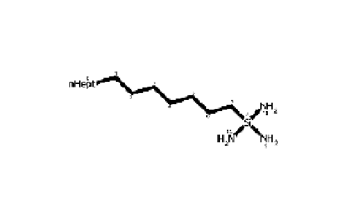 CCCCCCCCCCCCCC[Si](N)(N)N